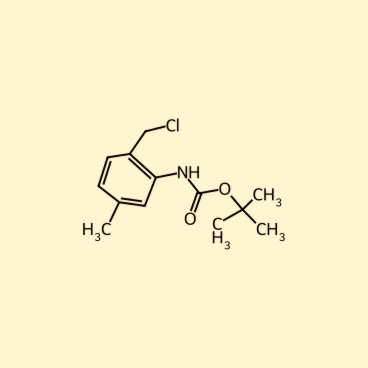 Cc1ccc(CCl)c(NC(=O)OC(C)(C)C)c1